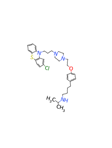 CC(C)NCCCCc1ccc(OCCN2CCN(CCCN3c4ccccc4Sc4ccc(Cl)cc43)CC2)cc1